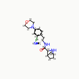 N#C[C@H](Cc1ccc(N2CCOCC2)cc1F)NC(=O)C1NC2CCC1C2